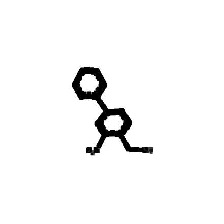 O=[N+]([O-])c1cc(-c2ccccc2)ccc1CO